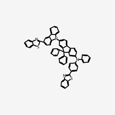 c1ccc(N(c2ccc(-c3nc4ccccc4s3)cc2)c2ccc3c(c2)C(c2ccccc2)(c2ccccc2)c2cc(-n4c5ccccc5c5cc(-c6nc7ccccc7s6)ccc54)ccc2-3)cc1